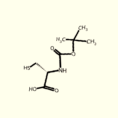 CC(C)(C)OC(=O)N[C@@H](CS)C(=O)O